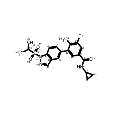 Cc1c(F)cc(C(=O)NC2CC2)cc1-c1ccc2c(cnn2S(=O)(=O)C(C)C)c1